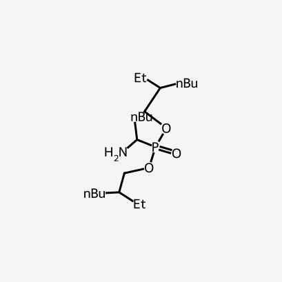 CCCCC(CC)COP(=O)(OCC(CC)CCCC)C(N)CCCC